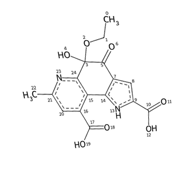 CCOC1(O)C(=O)c2cc(C(=O)O)[nH]c2-c2c(C(=O)O)cc(C)nc21